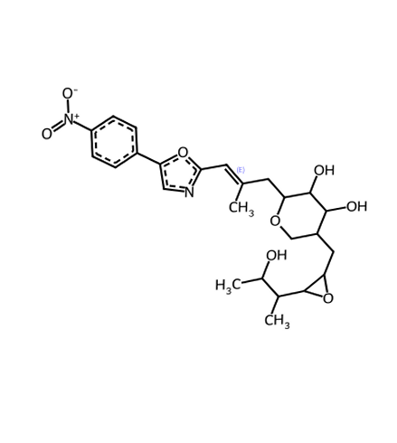 C/C(=C\c1ncc(-c2ccc([N+](=O)[O-])cc2)o1)CC1OCC(CC2OC2C(C)C(C)O)C(O)C1O